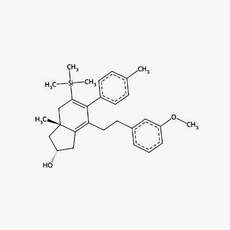 COc1cccc(CCC2=C3C[C@H](O)C[C@]3(C)CC([Si](C)(C)C)=C2c2ccc(C)cc2)c1